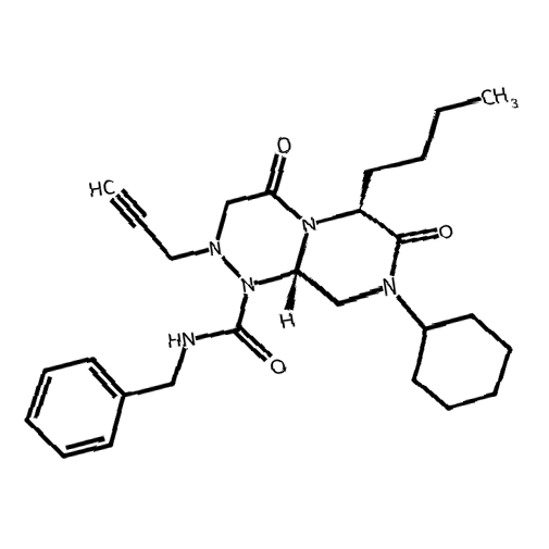 C#CCN1CC(=O)N2[C@@H](CCCC)C(=O)N(C3CCCCC3)C[C@@H]2N1C(=O)NCc1ccccc1